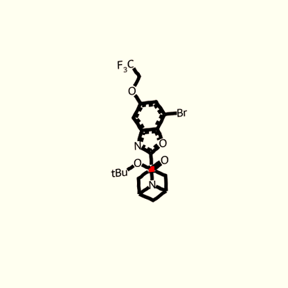 CC(C)(C)OC(=O)N1C2CC1CN(c1nc3cc(OCC(F)(F)F)cc(Br)c3o1)C2